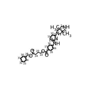 C[C@@]12CNC[C@]1(C)CN(c1ccnc(Nc3ccc(C(=O)OCCCC(=O)OCc4ccccc4)cc3)n1)C2